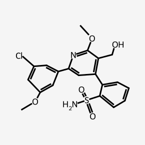 COc1cc(Cl)cc(-c2cc(-c3ccccc3S(N)(=O)=O)c(CO)c(OC)n2)c1